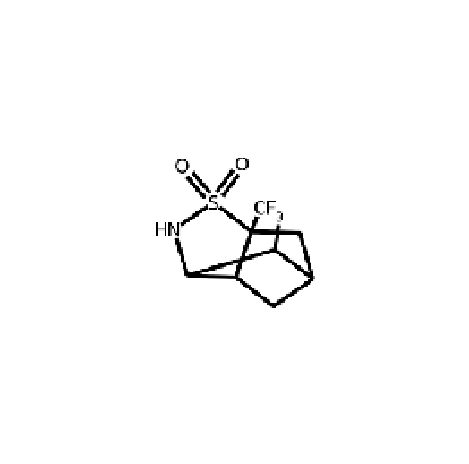 CC1C2CC3C1NS(=O)(=O)C3(C(F)(F)F)C2